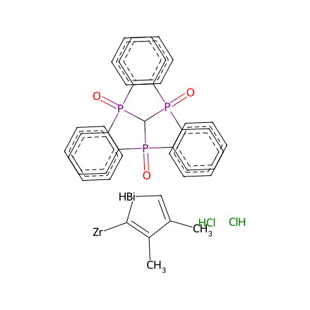 CC1=[CH][BiH][C]([Zr])=C1C.Cl.Cl.O=P(c1ccccc1)(c1ccccc1)C(P(=O)(c1ccccc1)c1ccccc1)P(=O)(c1ccccc1)c1ccccc1